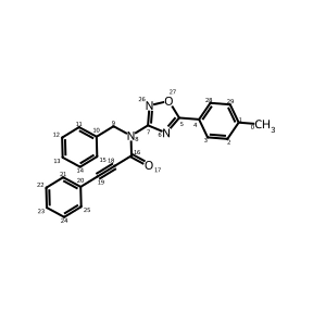 Cc1ccc(-c2nc(N(Cc3ccccc3)C(=O)C#Cc3ccccc3)no2)cc1